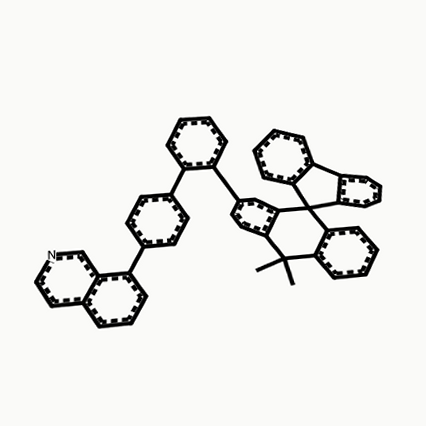 CC1(C)c2ccccc2C2(c3ccccc3-c3ccccc32)c2cc(-c3ccccc3-c3ccc(-c4cccc5ccncc45)cc3)ccc21